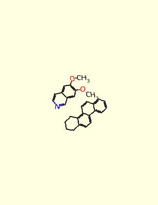 COc1cc2ccncc2cc1OC.c1ccc2c(c1)ccc1c3c(ccc12)CCCC3